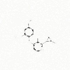 COc1cc(OC(F)(F)F)ccc1Oc1ccnc(C2CC2C)c1C(=O)O